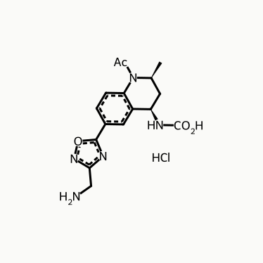 CC(=O)N1c2ccc(-c3nc(CN)no3)cc2[C@H](NC(=O)O)C[C@@H]1C.Cl